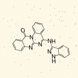 O=c1c2ccccc2nc2nc(Nc3n[nH]c4ccccc34)c3ccccc3n12